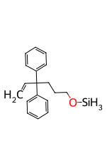 C=CC(CCCO[SiH3])(c1ccccc1)c1ccccc1